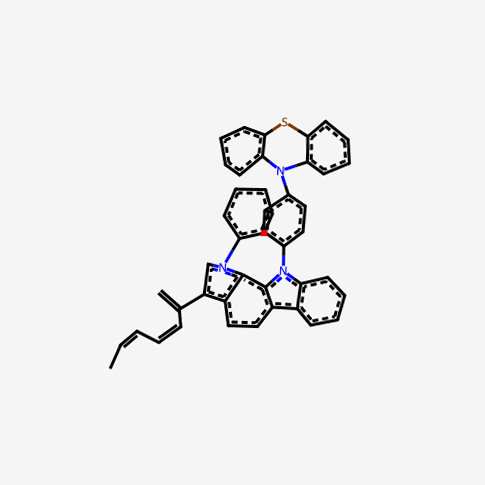 C=C(/C=C\C=C/C)c1cn(-c2ccccc2)c2c1ccc1c3ccccc3n(-c3ccc(N4c5ccccc5Sc5ccccc54)cc3)c12